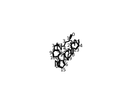 C#CCCCn1ccc2ccc(-c3ncccc3N3CCN(c4ccncc4)CC3)cc21